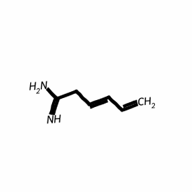 C=CC=CCC(=N)N